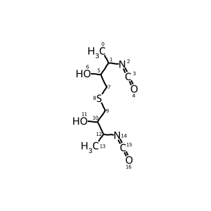 CC(N=C=O)C(O)CSCC(O)C(C)N=C=O